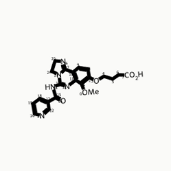 COc1c(OCCCC(=O)O)ccc2c1N=C(NC(=O)c1cccnc1)N1CCN=C21